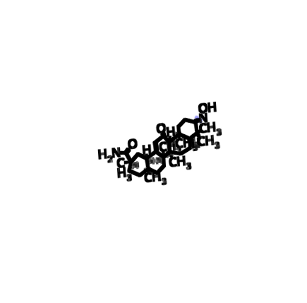 CC1(C)/C(=N/O)CC[C@]2(C)[C@H]3C(=O)C=C4[C@H]5C[C@@](C)(C(N)=O)CC[C@]5(C)CC[C@@]4(C)[C@]3(C)CC[C@@H]12